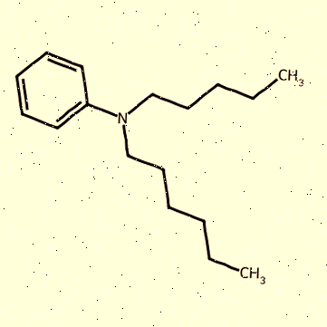 CCCCCCN(CCCCC)c1ccccc1